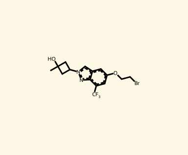 CC1(O)CC(n2cc3cc(OCCBr)cc(C(F)(F)F)c3n2)C1